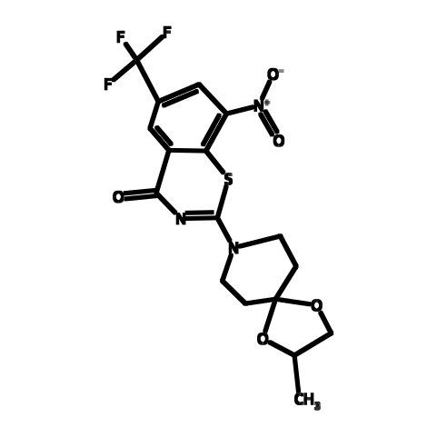 CC1COC2(CCN(c3nc(=O)c4cc(C(F)(F)F)cc([N+](=O)[O-])c4s3)CC2)O1